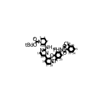 CC(C)(C)OC(=O)N1CCCC(Nc2nccc(-c3cccnc3Oc3c(Cl)ccc(NS(=O)(=O)c4ccccc4Cl)c3F)n2)C1